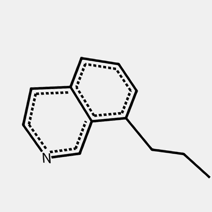 CCCc1cccc2ccncc12